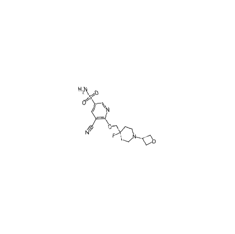 N#Cc1cc(S(N)(=O)=O)cnc1OCC1(F)CCN(C2COC2)CC1